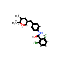 CC1[C]C(Cc2ccc(NC(=O)c3c(Cl)cccc3Cl)cc2)COC1C